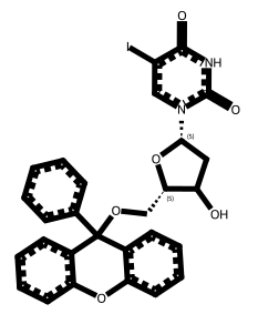 O=c1[nH]c(=O)n([C@@H]2CC(O)[C@H](COC3(c4ccccc4)c4ccccc4Oc4ccccc43)O2)cc1I